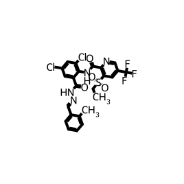 CCS(=O)(=O)c1cc(C(F)(F)F)cnc1C(=O)Nc1c(Cl)cc(Cl)cc1C(=O)NN=Cc1ccccc1C